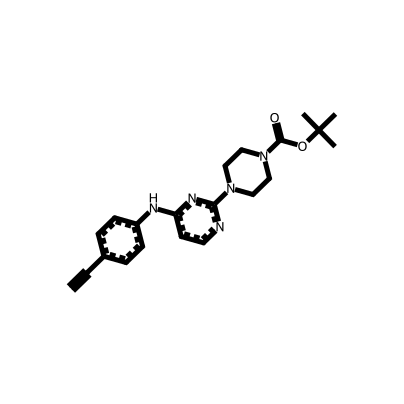 C#Cc1ccc(Nc2ccnc(N3CCN(C(=O)OC(C)(C)C)CC3)n2)cc1